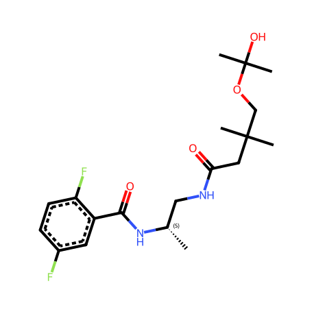 C[C@@H](CNC(=O)CC(C)(C)COC(C)(C)O)NC(=O)c1cc(F)ccc1F